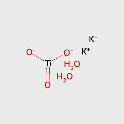 O.O.[K+].[K+].[O]=[Ti]([O-])[O-]